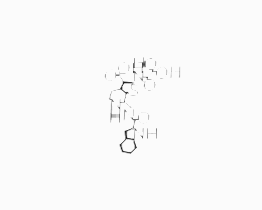 O=C(O)C(=O)Nc1sc2c(c1C(=O)O)CCNC2CNC(=O)c1cc2ccccc2[nH]1